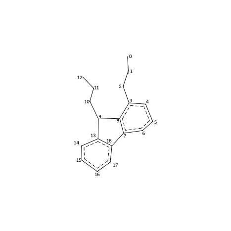 C[CH]Cc1cccc2c1C(CCC)c1ccccc1-2